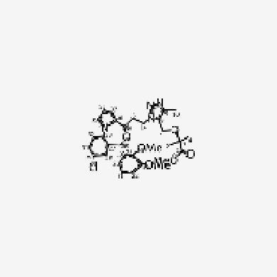 COC(=O)C(C)(C)OCc1c(C)nnn1CC[C@H]1O[C@H](c2cccc(OC)c2OC)c2cc(Cl)ccc2-n2cccc21